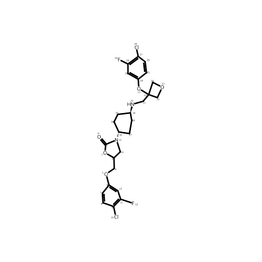 O=C1OC(COc2ccc(Cl)c(F)c2)CN1[C@H]1CC[C@H](NCC2(Oc3ccc(Cl)c(F)c3)COC2)CC1